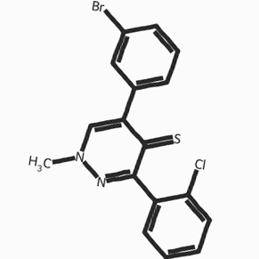 Cn1cc(-c2cccc(Br)c2)c(=S)c(-c2ccccc2Cl)n1